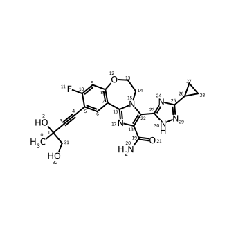 CC(O)(C#Cc1cc2c(cc1F)OCCn1c-2nc(C(N)=O)c1-c1nc(C2CC2)n[nH]1)CO